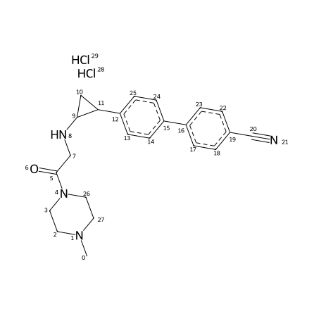 CN1CCN(C(=O)CNC2CC2c2ccc(-c3ccc(C#N)cc3)cc2)CC1.Cl.Cl